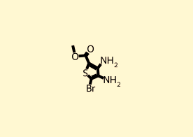 COC(=O)c1sc(Br)c(N)c1N